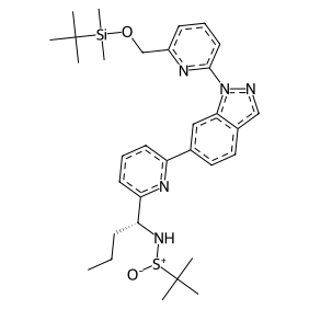 CCC[C@@H](N[S+]([O-])C(C)(C)C)c1cccc(-c2ccc3cnn(-c4cccc(CO[Si](C)(C)C(C)(C)C)n4)c3c2)n1